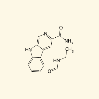 CCNC=O.NC(=O)c1cc2c(cn1)[nH]c1ccccc12